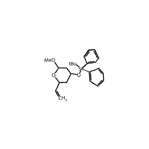 C=CC1CC(O[Si](c2ccccc2)(c2ccccc2)C(C)(C)C)CC(OC)O1